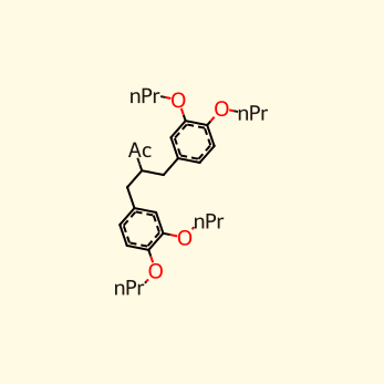 CCCOc1ccc(CC(Cc2ccc(OCCC)c(OCCC)c2)C(C)=O)cc1OCCC